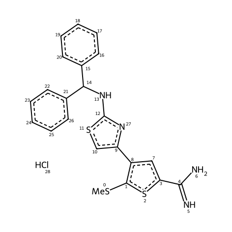 CSc1sc(C(=N)N)cc1-c1csc(NC(c2ccccc2)c2ccccc2)n1.Cl